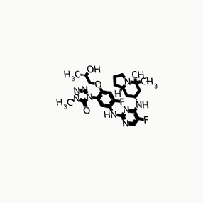 C[C@@H](O)COc1cc(F)c(Nc2ncc(F)c(N[C@@H]3C[C@@H]4CCCN4C(C)(C)C3)n2)cc1-n1nnn(C)c1=O